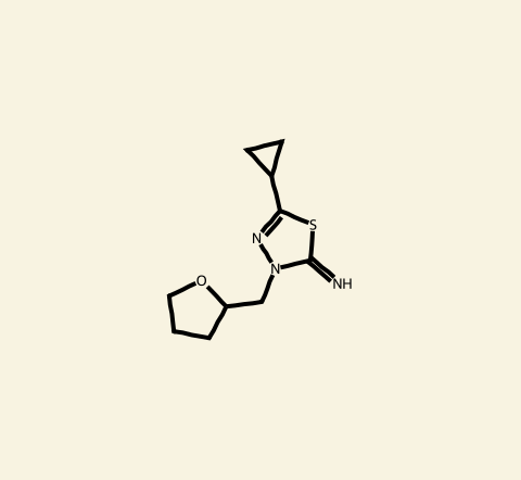 N=c1sc(C2CC2)nn1CC1CCCO1